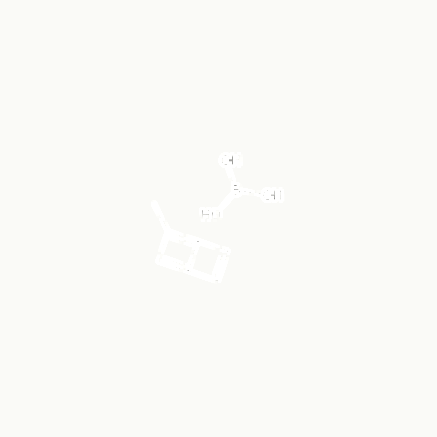 Cc1cc2ccc1-2.OB(O)O